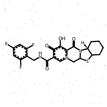 O=C(NCc1c(F)cc(F)cc1F)c1cn2c(c(O)c1=O)C(=O)N1C(C2)SC2CCCC[C@H]21